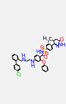 CC1CC(=O)NN=C1c1ccc(S(=O)(=O)NC(=O)c2ccc(NCCNCc3ccccc3-c3ccc(Cl)cc3)cc2Oc2ccccc2)cc1